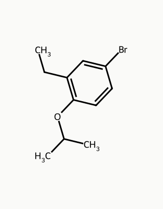 CCc1cc(Br)ccc1OC(C)C